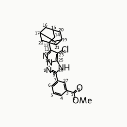 COC(=O)c1cccc(-c2nn3nc(C45CC6CC(CC(C6)C4)C5)c(Cl)c3[nH]2)c1